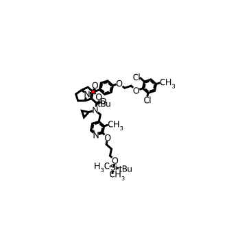 Cc1cc(Cl)c(OCCOc2ccc(C3=C(C(=O)N(Cc4ccnc(OCCCO[Si](C)(C)C(C)(C)C)c4C)C4CC4)C4CCC(C3)N4C(=O)OC(C)(C)C)cc2)c(Cl)c1